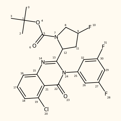 CC(C)(C)OC(=O)N1CC(F)CC1c1nc2cccc(Cl)c2c(=O)n1-c1cc(F)cc(F)c1